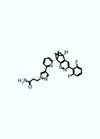 CC1(C)[C@H]2CC[C@]1(c1cccc(-c3cnn(CCC(N)=O)c3)n1)c1nnc(-c3c(F)cccc3F)cc12